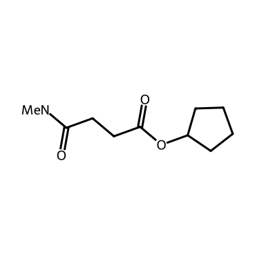 CNC(=O)CCC(=O)OC1CCCC1